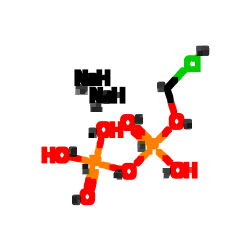 O=P(O)(O)OP(=O)(O)OCCl.[NaH].[NaH]